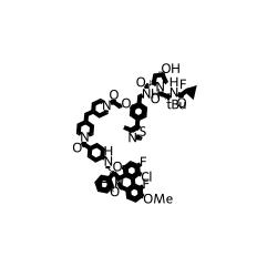 COc1ccc(C(N)=O)c(-c2c(Cl)c(F)cc3c2[C@H](C)[C@@](CNC2CCC(C(=O)N4CCC(CC5CCN(C(=O)COc6cc(-c7scnc7C)ccc6CNC(=O)[C@@H]6C[C@@H](O)CN6C(=O)[C@@H](NC(=O)C6(F)CC6)C(C)(C)C)CC5)CC4)CC2)(c2ccccc2)O3)c1F